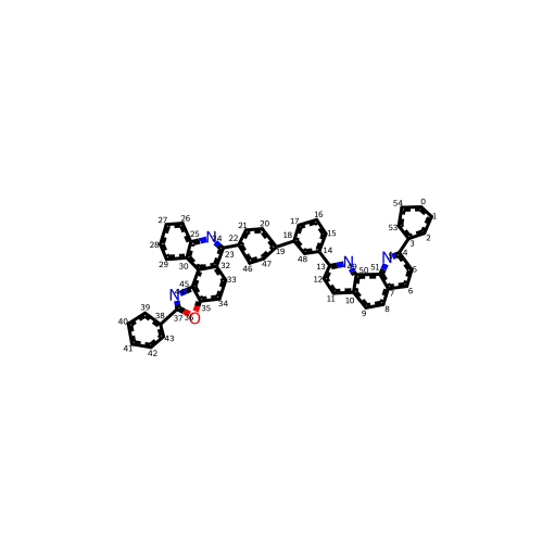 c1ccc(-c2ccc3ccc4ccc(-c5cccc(-c6ccc(-c7nc8ccccc8c8c7ccc7oc(-c9ccccc9)nc78)cc6)c5)nc4c3n2)cc1